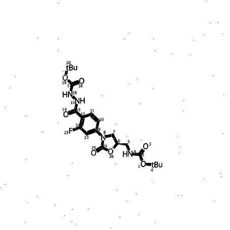 CC(C)(C)OC(=O)NC[C@@H]1CN(c2ccc(C(=O)NNC(=O)OC(C)(C)C)c(F)c2)C(=O)O1